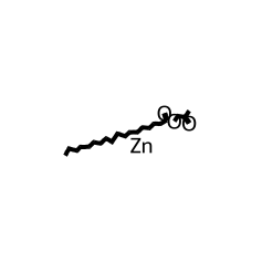 CCCCCCCCCCCCCCCCCC(=O)OCC(C)=O.[Zn]